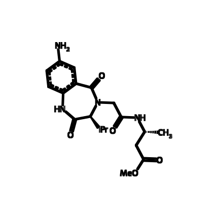 COC(=O)C[C@@H](C)NC(=O)CN1C(=O)c2cc(N)ccc2NC(=O)[C@@H]1C(C)C